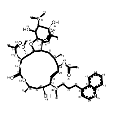 CO[C@@H]1C(OC2OC(C)[C@@H](O)C(N(C)C)C2O)[C@@H](CC=O)C[C@@H](C)[C@@H](OC(C)=O)/C=C/[C@@H](N(C)CCCc2ccnc3ccccc23)[C@@H](O)C[C@@H](C)OC(=O)C[C@H]1OC(C)=O